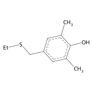 CCSCc1cc(C)c(O)c(C)c1